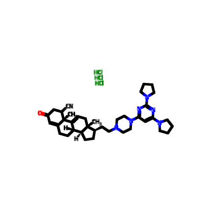 C[C@@]12C(=CC(=O)CC1C#N)CC[C@@H]1C2=CC[C@]2(C)[C@@H](CCN3CCN(c4cc(N5CCCC5)nc(N5CCCC5)n4)CC3)CC[C@@H]12.Cl.Cl.Cl